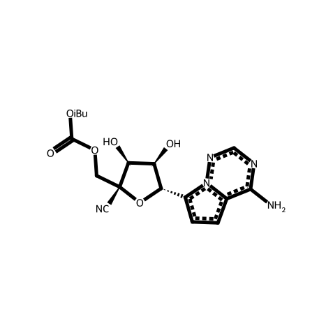 CC(C)COC(=O)OC[C@@]1(C#N)O[C@@H](c2ccc3c(N)ncnn23)[C@H](O)[C@@H]1O